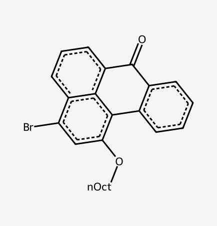 CCCCCCCCOc1cc(Br)c2cccc3c2c1-c1ccccc1C3=O